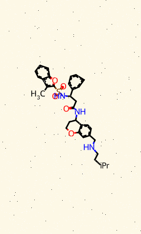 Cc1c(S(=O)(=O)NC(CC(=O)NC2CCOc3cc(CNCCC(C)C)ccc32)c2ccccc2)oc2ccccc12